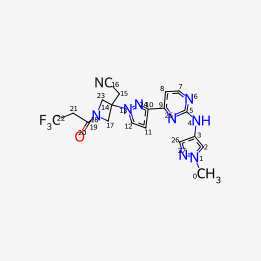 Cn1cc(Nc2nccc(-c3ccn(C4(CC#N)CN(C(=O)CC(F)(F)F)C4)n3)n2)cn1